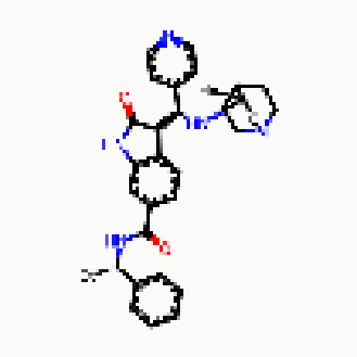 CC[C@@H](NC(=O)c1ccc2c(c1)NC(=O)C2=C(N[C@H]1CN2CCC1CC2)c1ccncc1)c1ccccc1